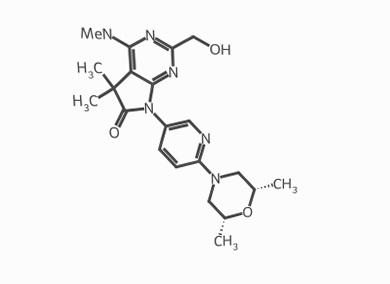 CNc1nc(CO)nc2c1C(C)(C)C(=O)N2c1ccc(N2C[C@@H](C)O[C@@H](C)C2)nc1